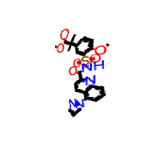 COC(=O)C(C)(C)c1ccc(OC)c(S(=O)(=O)NC(=O)c2ccc3c(-n4cccn4)cccc3n2)c1